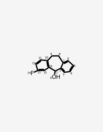 OC1c2ccccc2CCc2ccc(F)cc21